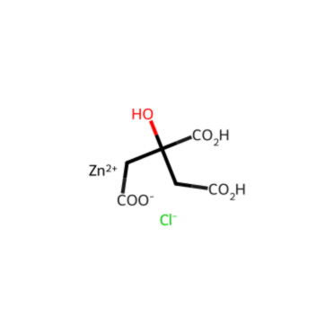 O=C([O-])CC(O)(CC(=O)O)C(=O)O.[Cl-].[Zn+2]